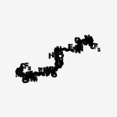 O=C(Cc1cc(CNC(=O)c2cn(CC(F)CCc3nnc(C(=O)NCc4cc(C(F)(F)F)ccn4)s3)nn2)ccn1)Nc1nnc(CCC(F)Cn2cc(C(=O)NCc3cc(C(F)(F)F)ccn3)nn2)s1